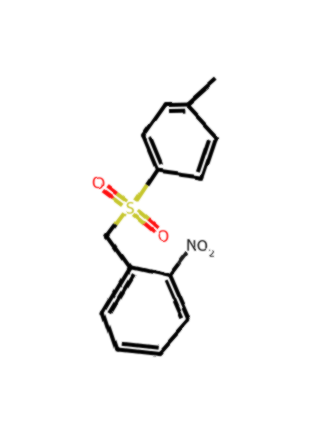 Cc1ccc(S(=O)(=O)Cc2ccccc2[N+](=O)[O-])cc1